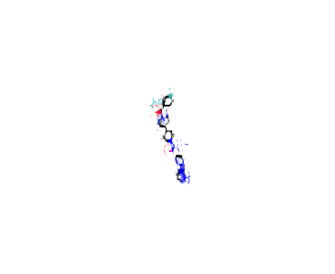 O=C(Nc1ccc(C2CCN(C(=O)c3ccc(F)cc3F)CC2)cc1)[C@H]1CCN(c2cccnn2)C1